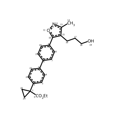 CCOC(=O)C1(c2ccc(-c3ccc(-c4onc(C)c4CCCO)cc3)cc2)CC1